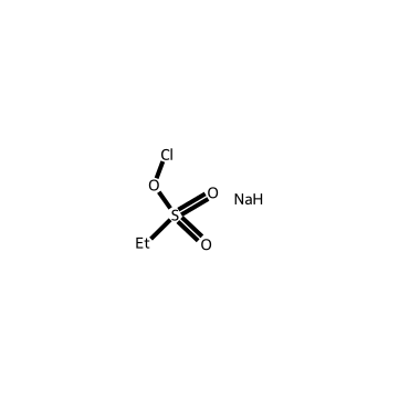 CCS(=O)(=O)OCl.[NaH]